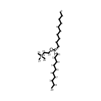 CCCCCCCCCC[PH-](CCCCCCCCCC)OCC[N+](C)(C)C